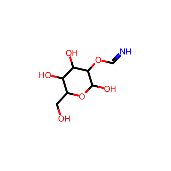 N=COC1C(O)OC(CO)C(O)C1O